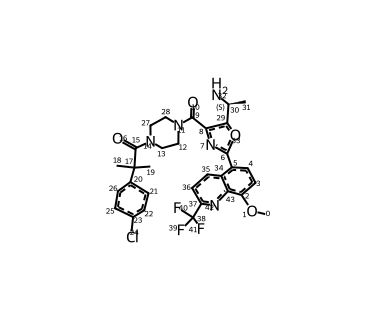 COc1ccc(-c2nc(C(=O)N3CCN(C(=O)C(C)(C)c4ccc(Cl)cc4)CC3)c([C@H](C)N)o2)c2ccc(C(F)(F)F)nc12